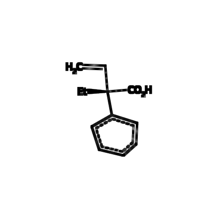 C=C[C@](CC)(C(=O)O)c1ccccc1